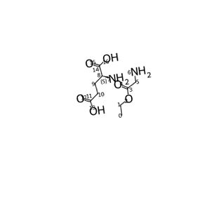 CCOC(=O)CN.N[C@@H](CCC(=O)O)C(=O)O